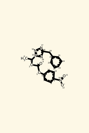 CC(OC(=O)Oc1ccc([N+](=O)[O-])cc1)n1nnc(Cc2ccccc2)n1